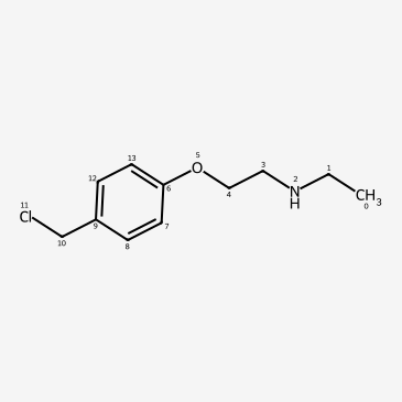 CCNCCOc1ccc(CCl)cc1